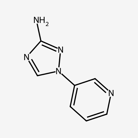 Nc1ncn(-c2cccnc2)n1